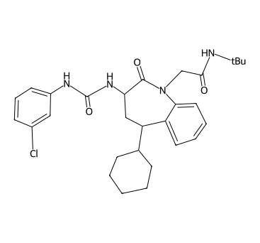 CC(C)(C)NC(=O)CN1C(=O)C(NC(=O)Nc2cccc(Cl)c2)CC(C2CCCCC2)c2ccccc21